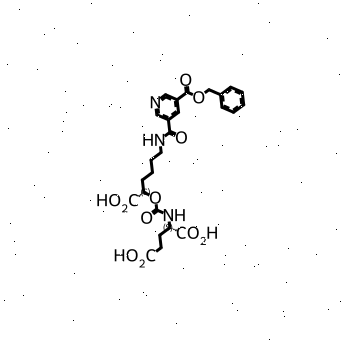 O=C(O)CC[C@H](NC(=O)O[C@@H](CCCCNC(=O)c1cncc(C(=O)OCc2ccccc2)c1)C(=O)O)C(=O)O